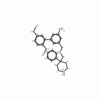 FC(F)(F)c1cc(COCC2(c3ccccc3)CCNCC2)cc(-c2cc(CI)ccc2CI)c1